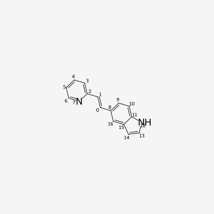 C(=C\c1ccccn1)/c1ccc2[nH]ccc2c1